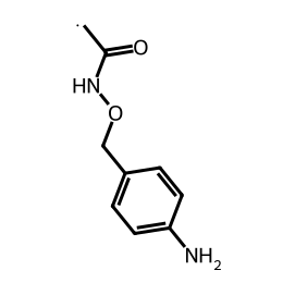 [CH2]C(=O)NOCc1ccc(N)cc1